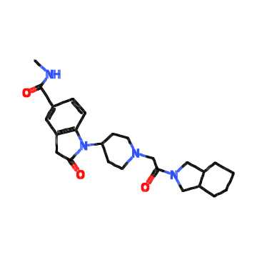 CNC(=O)c1ccc2c(c1)CC(=O)N2C1CCN(CC(=O)N2CC3CCCCC3C2)CC1